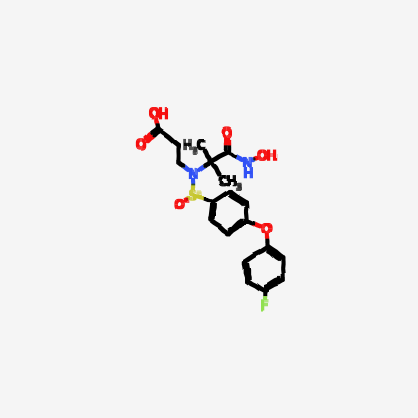 CC(C)(C(=O)NO)N(CCC(=O)O)[S+]([O-])c1ccc(Oc2ccc(F)cc2)cc1